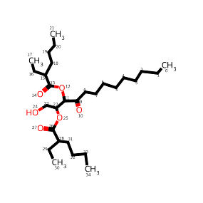 CCCCCCCCCC(=O)C(OC(=O)C(CC)CCCC)C(CO)OC(=O)C(CC)CCCC